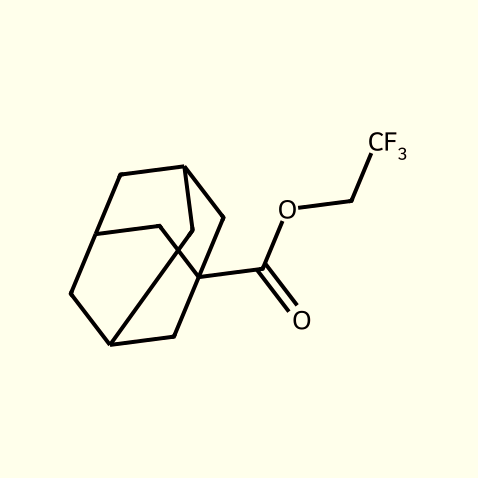 O=C(OCC(F)(F)F)C12CC3CC(CC(C3)C1)C2